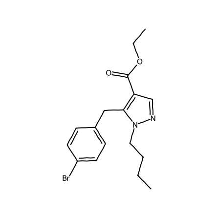 CCCCn1ncc(C(=O)OCC)c1Cc1ccc(Br)cc1